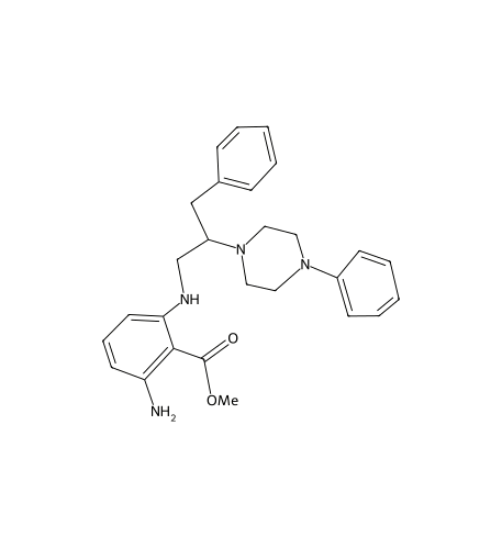 COC(=O)c1c(N)cccc1NCC(Cc1ccccc1)N1CCN(c2ccccc2)CC1